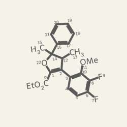 CCOC(=O)C1=C(c2ccc(F)c(F)c2OC)C(C)C(C)(c2ccccc2)O1